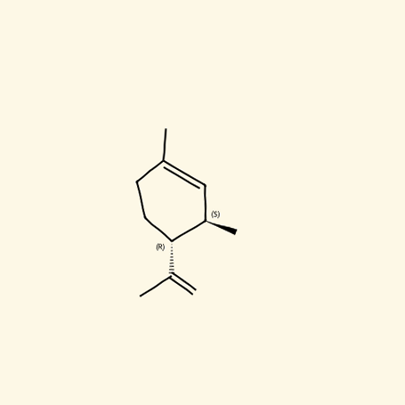 C=C(C)[C@@H]1CCC(C)=C[C@H]1C